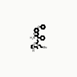 CC(c1ncc[nH]1)N(CCC(C)(C)C)C(=O)CC[C@H](c1cc2cc(Oc3ccccc3)ccc2nc1N)C1CCCCC1